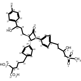 CS(=O)(=O)CC(O)CCc1ccc(N2C(=O)[C@H](CCC(O)c3ccc(F)cc3)[C@H]2c2ccc(CCCC(C(=O)O)C(=O)O)cc2)cc1